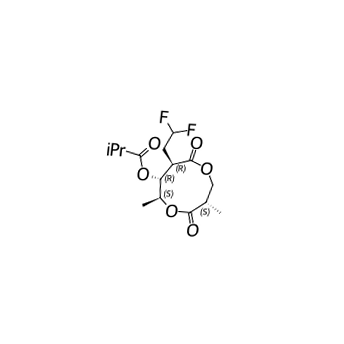 CC(C)C(=O)O[C@H]1[C@H](C)OC(=O)[C@@H](C)COC(=O)[C@@H]1CC(F)F